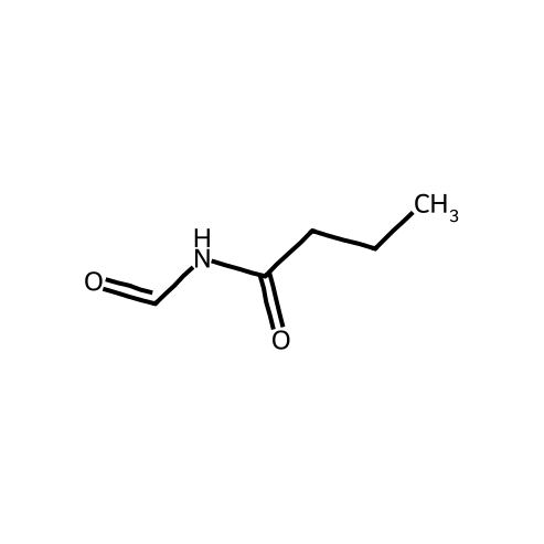 CCCC(=O)NC=O